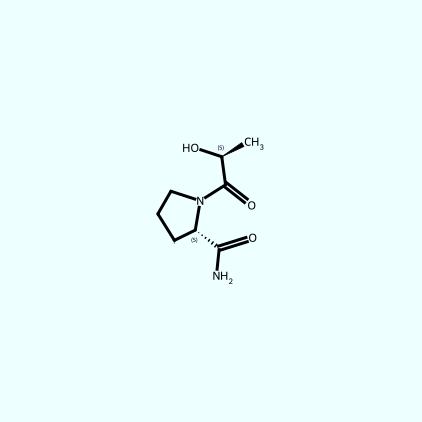 C[C@H](O)C(=O)N1CC[CH][C@H]1C(N)=O